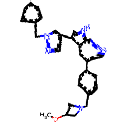 COC1CN(Cc2ccc(-c3cnc4[nH]cc(-c5cnn(Cc6ccccc6)c5)c4c3)cc2)C1